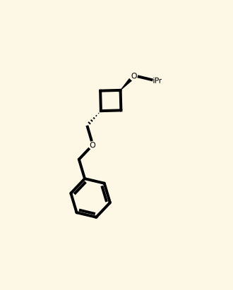 CC(C)O[C@H]1C[C@H](COCc2ccccc2)C1